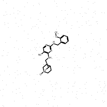 N#Cc1cnc(NCc2ccccc2OC(F)(F)F)nc1NCC1C[N+]2([O-])CCC1CC2